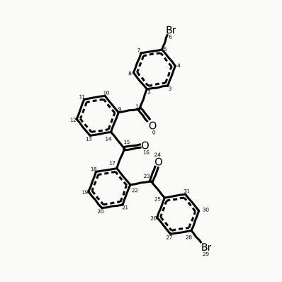 O=C(c1ccc(Br)cc1)c1ccccc1C(=O)c1ccccc1C(=O)c1ccc(Br)cc1